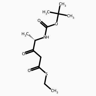 CCSC(=O)CC(=O)[C@H](C)NC(=O)OC(C)(C)C